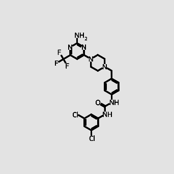 Nc1nc(N2CCN(Cc3ccc(NC(=O)Nc4cc(Cl)cc(Cl)c4)cc3)CC2)cc(C(F)(F)F)n1